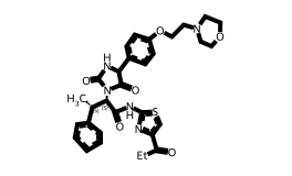 CCC(=O)c1csc(NC(=O)[C@H]([C@@H](C)c2ccccc2)N2C(=O)NC(c3ccc(OCCN4CCOCC4)cc3)C2=O)n1